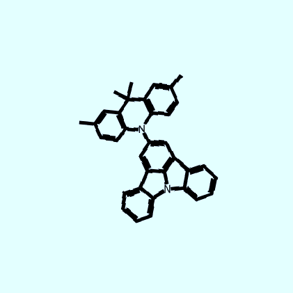 Cc1ccc2c(c1)C(C)(C)c1cc(C)ccc1N2c1cc2c3ccccc3n3c4ccccc4c(c1)c23